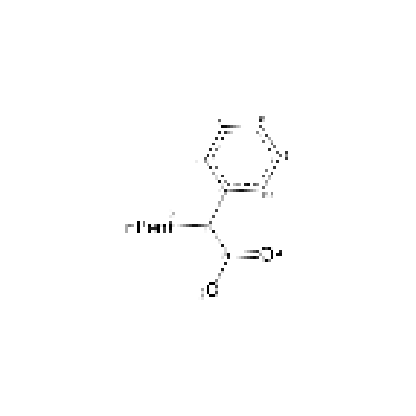 CCCCCC(C([O])=O)c1ccccc1